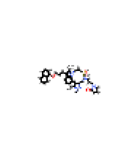 CCc1c2c(nn1C)CN(CCCN1CCCC1=O)S(=O)(=O)CCCn1c(C(=O)O)c(CCCOc3cccc4ccccc34)c3cccc-2c31